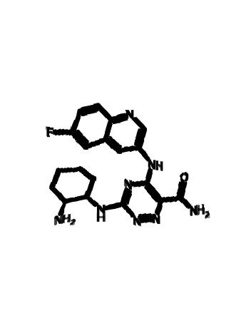 NC(=O)c1nnc(N[C@@H]2CCCC[C@@H]2N)nc1Nc1cnc2ccc(F)cc2c1